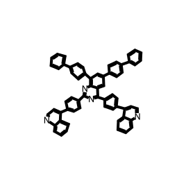 c1ccc(-c2ccc(-c3cc(-c4ccc(-c5ccccc5)cc4)c4nc(-c5ccc(-c6ccnc7ccccc67)cc5)nc(-c5ccc(-c6ccnc7ccccc67)cc5)c4c3)cc2)cc1